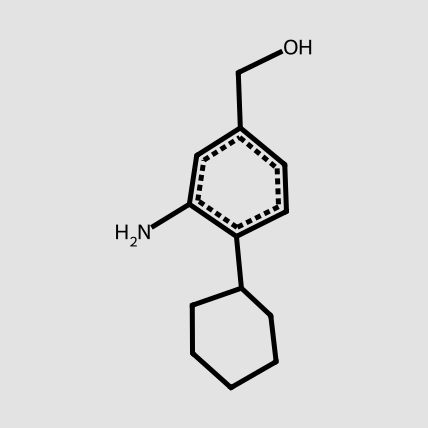 Nc1cc(CO)ccc1C1CCCCC1